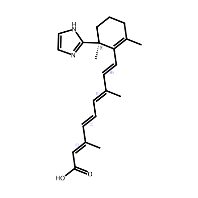 CC1=C(/C=C/C(C)=C/C=C/C(C)=C/C(=O)O)[C@@](C)(c2ncc[nH]2)CCC1